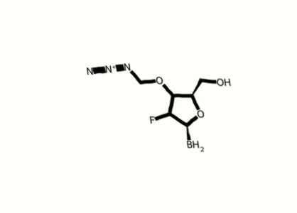 B[C@@H]1O[C@H](CO)C(OCN=[N+]=[N-])C1F